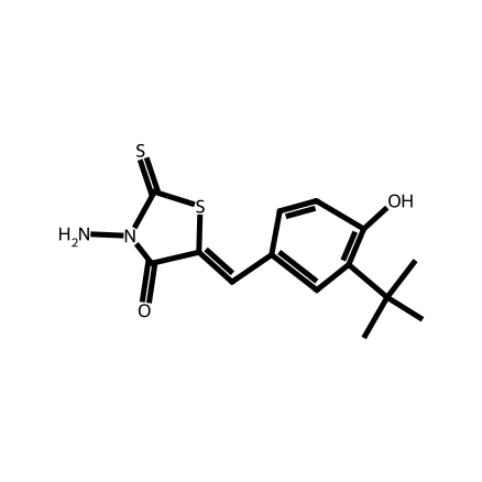 CC(C)(C)c1cc(/C=C2\SC(=S)N(N)C2=O)ccc1O